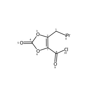 CC(C)Cc1oc(=O)oc1C(=O)Cl